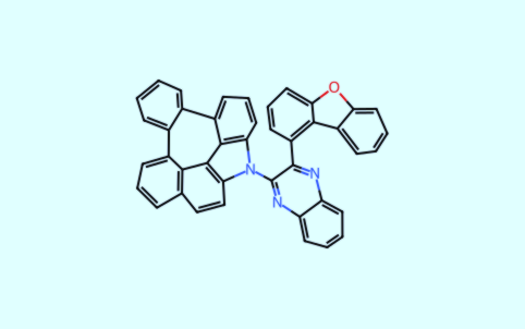 c1ccc2c(c1)-c1cccc3ccc4c(c13)c1c-2cccc1n4-c1nc2ccccc2nc1-c1cccc2oc3ccccc3c12